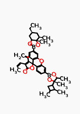 C=CC1=C(/C=C\C)C(=O)OC12c1ccc(B3OC(C)[C@](C)(C4CC(C)C4C)O3)cc1Oc1cc(B3OC4C[C@@H](CC)C[C@@H](C)[C@]4(C)O3)ccc12